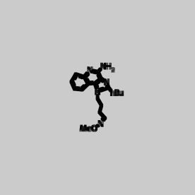 CCCCc1nc2c(N)nc3ccccc3c2n1CCC/C=N\OC